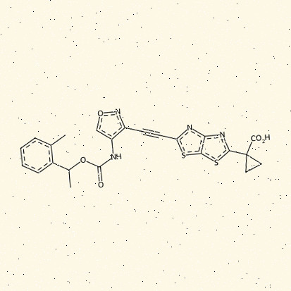 Cc1ccccc1C(C)OC(=O)Nc1conc1C#Cc1nc2nc(C3(C(=O)O)CC3)sc2s1